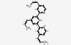 C/C=C\c1ccnc(-c2cc(/C=C\C)cc(-c3cc(/C=C\C)ccn3)n2)c1